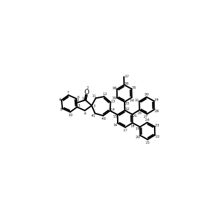 CC(=O)C1(Cc2ccccc2)CC=CC(c2ccc(-c3ccccc3)c(-c3ccccc3)c2-c2ccc(C)cc2)=CC1